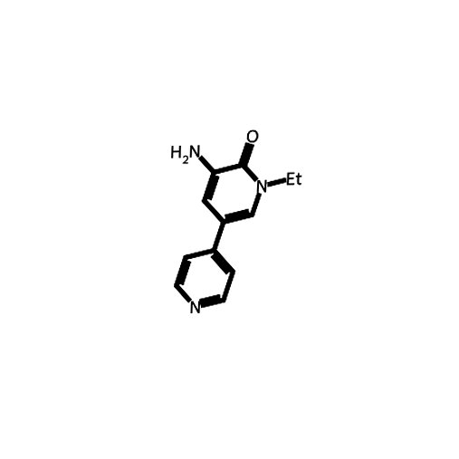 CCn1cc(-c2ccncc2)cc(N)c1=O